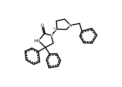 O=C1NC(c2ccccc2)(c2ccccc2)CN1[C@H]1CCN(Cc2ccccc2)C1